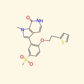 Cn1cc(-c2cc(S(C)(=O)=O)ccc2OCCc2cccs2)c2cc[nH]c(=O)c21